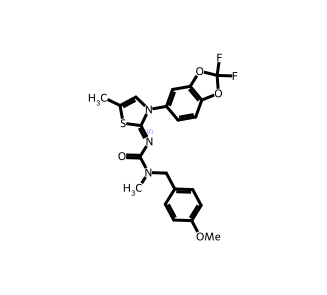 COc1ccc(CN(C)C(=O)/N=c2\sc(C)cn2-c2ccc3c(c2)OC(F)(F)O3)cc1